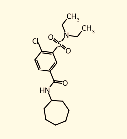 CCN(CC)S(=O)(=O)c1cc(C(=O)NC2CCCCCC2)ccc1Cl